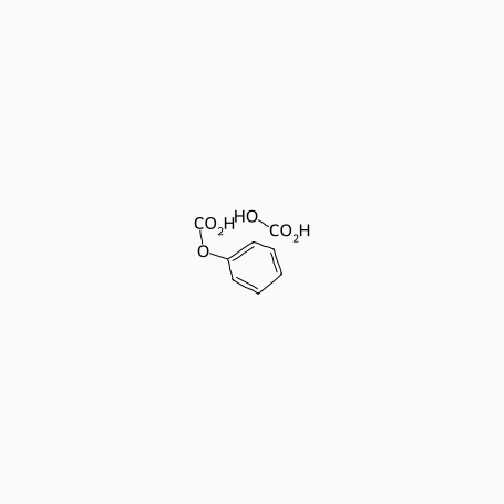 O=C(O)O.O=C(O)Oc1ccccc1